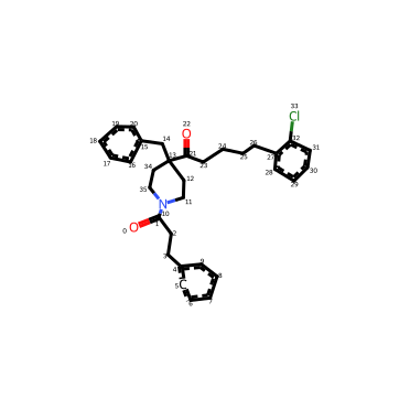 O=C(CCc1ccccc1)N1CCC(Cc2ccccc2)(C(=O)CCCCc2ccccc2Cl)CC1